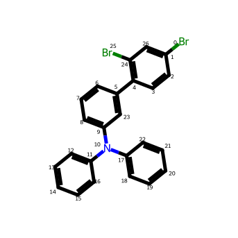 Brc1ccc(-c2cccc(N(c3ccccc3)c3ccccc3)c2)c(Br)c1